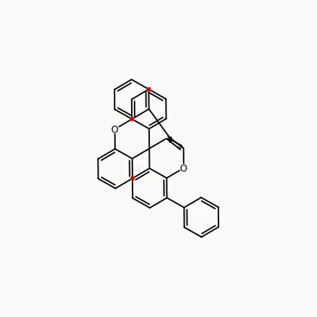 c1ccc(-c2cccc3c2Oc2cccc(-c4ccccc4)c2C32c3ccccc3Oc3ccccc32)cc1